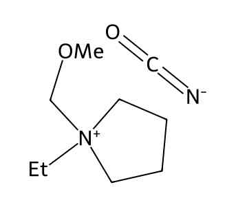 CC[N+]1(COC)CCCC1.[N-]=C=O